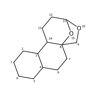 C1CCC2C(C1)CCC13COC(CCC21)O3